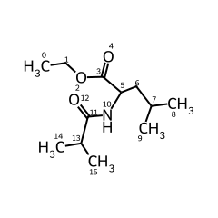 CCOC(=O)C(CC(C)C)NC(=O)C(C)C